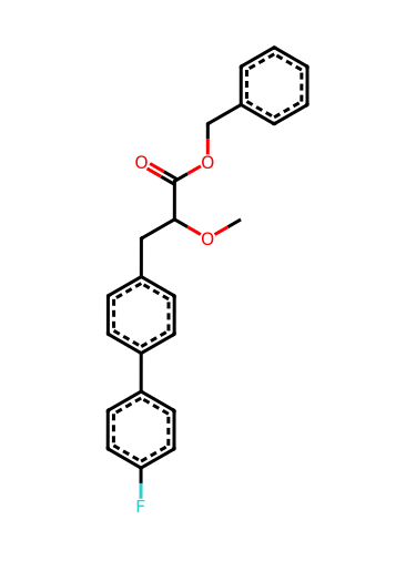 COC(Cc1ccc(-c2ccc(F)cc2)cc1)C(=O)OCc1ccccc1